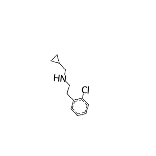 Clc1ccccc1CCNCC1CC1